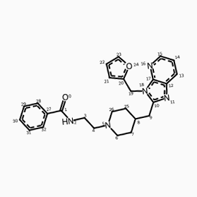 O=C(NCCN1CCC(Cc2nc3cccnc3n2Cc2ccco2)CC1)c1ccccc1